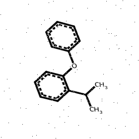 CC(C)c1ccccc1Oc1ccccc1